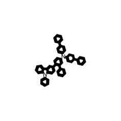 C1=C(N(c2ccc(-c3ccccc3)cc2)c2ccc(-c3ccc4c(c3)c3ccccc3n4-c3ccccc3)c(-c3ccccc3)c2)CCC(c2ccccc2)C1